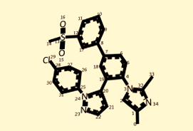 Cc1cn(-c2ccc(-c3cccc(S(C)(=O)=O)c3)cc2-c2ccnn2-c2ccc(Cl)cc2)c(C)n1